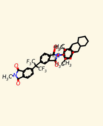 Cc1cc2c(c(C)c1C)C1c3c(cc(C)c(N4C(=O)c5ccc(C(c6ccc7c(c6)C(=O)N(C)C7=O)(C(F)(F)F)C(F)(F)F)cc5C4=O)c3C)C2C2CCCCC12